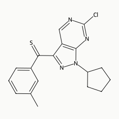 Cc1cccc(C(=S)c2nn(C3CCCC3)c3nc(Cl)ncc23)c1